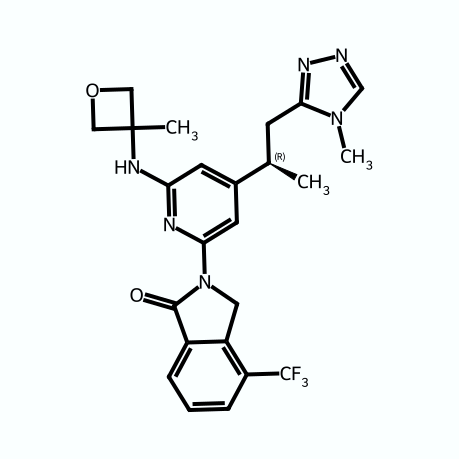 C[C@H](Cc1nncn1C)c1cc(NC2(C)COC2)nc(N2Cc3c(cccc3C(F)(F)F)C2=O)c1